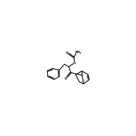 NC(=O)OC(Cc1ccccc1)C(=O)N1OC2C=CC1CC2